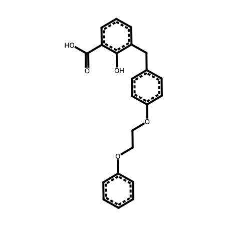 O=C(O)c1cccc(Cc2ccc(OCCOc3ccccc3)cc2)c1O